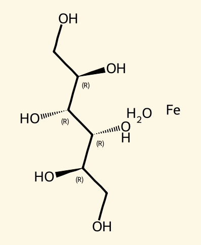 O.OC[C@@H](O)[C@@H](O)[C@H](O)[C@H](O)CO.[Fe]